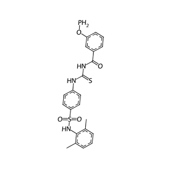 Cc1cccc(C)c1NS(=O)(=O)c1ccc(NC(=S)NC(=O)c2cccc(OP)c2)cc1